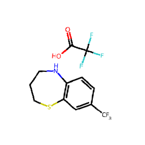 FC(F)(F)c1ccc2c(c1)SCCCN2.O=C(O)C(F)(F)F